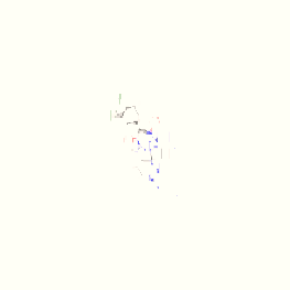 Cc1nc(N)ccc1CNC(=O)[C@H](C(N)=O)c1ccc(F)c(F)c1